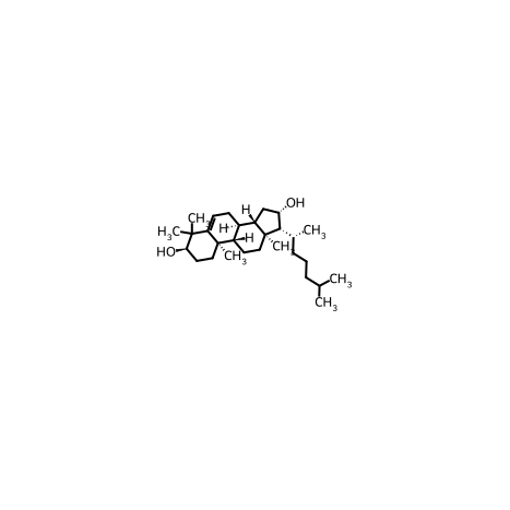 CC(C)CCC[C@@H](C)[C@H]1[C@@H](O)C[C@H]2[C@@H]3CC=C4C(C)(C)[C@H](O)CC[C@]4(C)[C@H]3CC[C@]12C